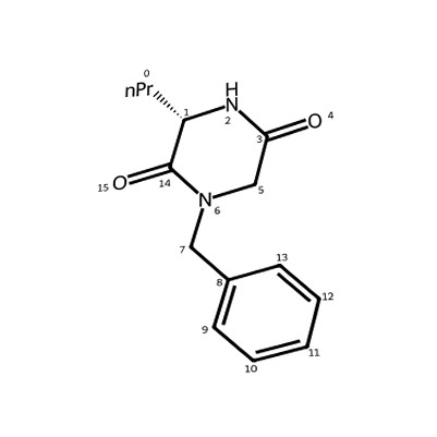 CCC[C@@H]1NC(=O)CN(Cc2ccccc2)C1=O